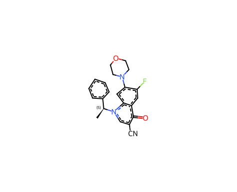 C[C@@H](c1ccccc1)n1cc(C#N)c(=O)c2cc(F)c(N3CCOCC3)cc21